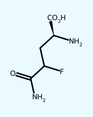 NC(=O)C(F)C[C@H](N)C(=O)O